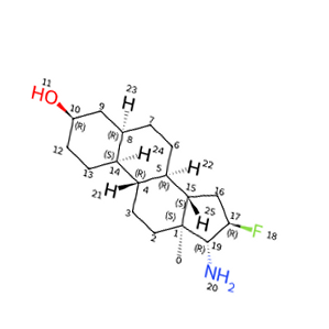 C[C@]12CC[C@H]3[C@@H](CC[C@@H]4C[C@H](O)CC[C@@H]43)[C@@H]1C[C@@H](F)[C@@H]2N